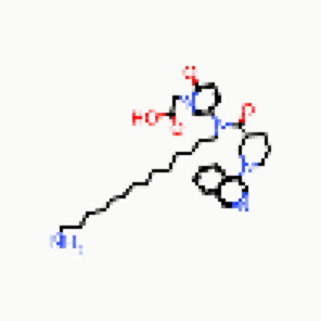 NCCCCCCCCCCCCCCN(C(=O)[C@H]1CCCN(c2cncc3ccccc23)C1)c1ccc(=O)n(CC(=O)O)c1